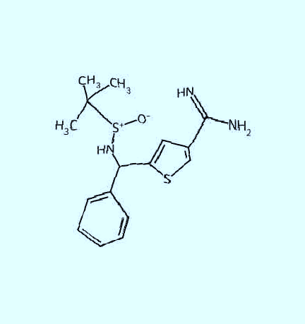 CC(C)(C)[S+]([O-])NC(c1ccccc1)c1cc(C(=N)N)cs1